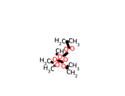 C=C(C)OC(OCCOC(=O)C(=C)C)C(OCC)(OCC)OCC